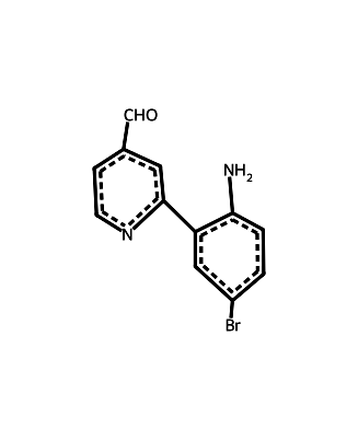 Nc1ccc(Br)cc1-c1cc(C=O)ccn1